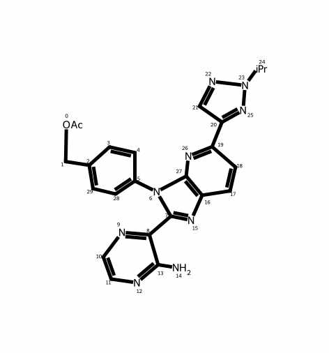 CC(=O)OCc1ccc(-n2c(-c3nccnc3N)nc3ccc(-c4cnn(C(C)C)n4)nc32)cc1